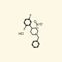 Cl.O=[N+]([O-])[C@@H]1CN(Cc2ccccc2)CCC1c1cc(F)ccc1F